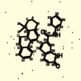 CC1(C)CCCc2ccc3c(ccc4ccccc43)c21.O=C(Nc1ccccc1)c1ccc2ccc(=O)[nH]c2c1